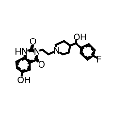 O=c1[nH]c2ccc(O)cc2c(=O)n1CCN1CCC(C(O)c2ccc(F)cc2)CC1